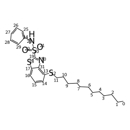 CCCCCCCCCCCCSc1cccc2sc(S(=O)(=O)Nc3ccccc3)nc12